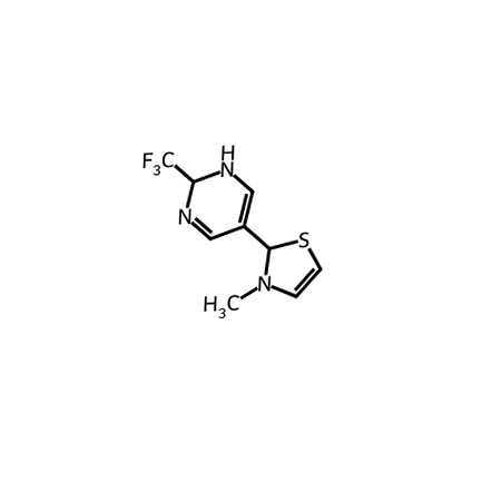 CN1C=CSC1C1=CNC(C(F)(F)F)N=C1